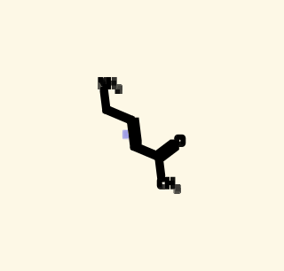 CC(=O)/C=C/CN